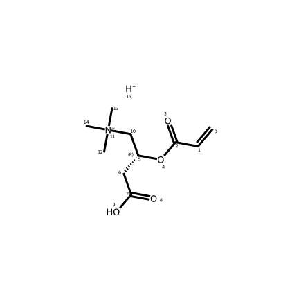 C=CC(=O)O[C@H](CC(=O)O)C[N+](C)(C)C.[H+]